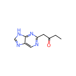 CCC(=O)Cc1ncc2nc[nH]c2n1